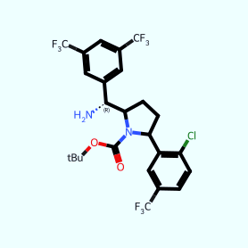 CC(C)(C)OC(=O)N1C(c2cc(C(F)(F)F)ccc2Cl)CCC1[C@H](N)c1cc(C(F)(F)F)cc(C(F)(F)F)c1